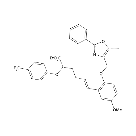 CCOC(=O)C(CCC=Cc1cc(OC)ccc1OCc1nc(-c2ccccc2)oc1C)Oc1ccc(C(F)(F)F)cc1